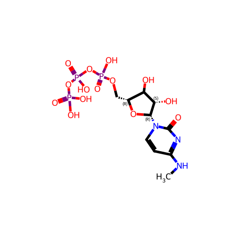 CNc1ccn([C@@H]2O[C@H](COP(=O)(O)OP(=O)(O)OP(=O)(O)O)C(O)[C@@H]2O)c(=O)n1